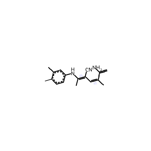 C=C(N)/C(C)=C\C(C#N)=C(/C)Nc1ccc(C)c(C)c1